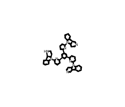 C1=Cc2c(c3ccccc3n2-c2cccc(-c3cc(-c4cccc(-n5c6ccccc6c6cnccc65)n4)cc(-c4cccc(-n5c6ccccc6c6cnccc65)n4)c3)n2)CN1